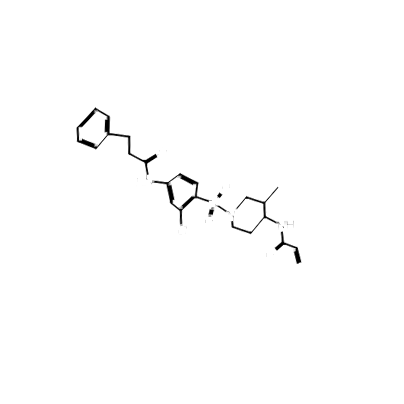 C=CC(=O)NC1CCN(S(=O)(=O)c2ccc(NC(=O)CCc3ccccc3)cc2Cl)CC1C